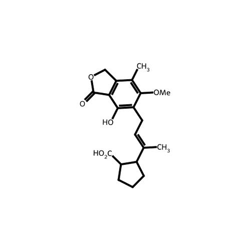 COc1c(C)c2c(c(O)c1C/C=C(\C)C1CCCC1C(=O)O)C(=O)OC2